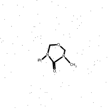 CC(C)N1COCN(C)C1=O